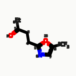 CCC(=O)CCc1ncc(C(F)(F)F)o1